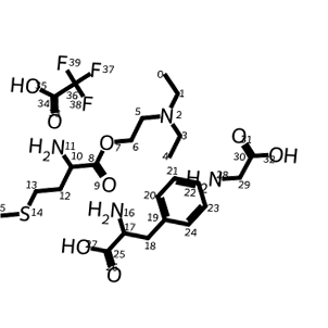 CCN(CC)CCOC(=O)C(N)CCSC.NC(Cc1ccccc1)C(=O)O.NCC(=O)O.O=C(O)C(F)(F)F